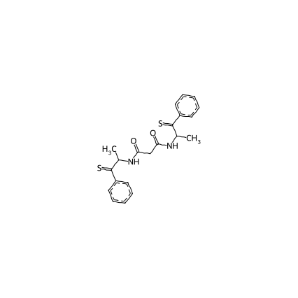 CC(NC(=O)CC(=O)NC(C)C(=S)c1ccccc1)C(=S)c1ccccc1